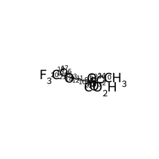 Cc1ccc(S(=O)(=O)C(CCCCCOc2cccc(C(F)(F)F)c2)C(=O)O)cc1